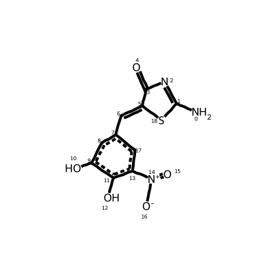 NC1=NC(=O)C(=Cc2cc(O)c(O)c([N+](=O)[O-])c2)S1